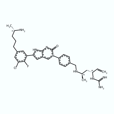 C=C[C@@H](C[C@@H](C)NCc1ccc(-n2cc3cc(-c4cc(CCC[C@H](C)N)cc(Cl)c4F)[nH]c3nc2=O)cc1)NC(=N)N